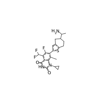 Cc1c(-c2cc3c(s2)CCC(C(C)N)C3)c(F)c(C(F)F)c2c(=O)[nH]c(=O)n(C3CC3)c12